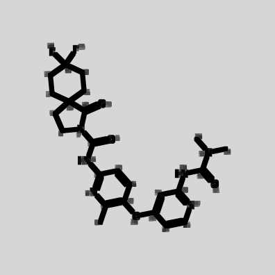 Cc1nc(NC(=O)N2CCC3(CCC(F)(F)CC3)C2=O)ccc1Oc1ccnc(NC(=O)N(C)C)c1